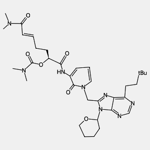 CN(C)C(=O)/C=C/CC[C@H](OC(=O)N(C)C)C(=O)Nc1cccn(Cc2nc3c(CCC(C)(C)C)ncnc3n2C2CCCCO2)c1=O